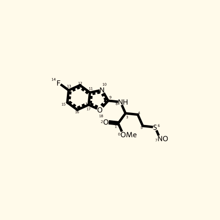 COC(=O)C(CCSN=O)Nc1nc2cc(F)ccc2o1